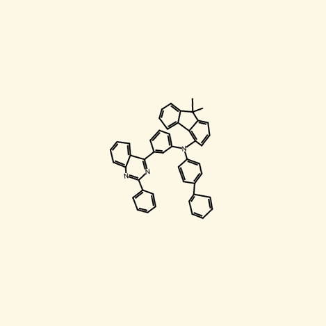 CC1(C)c2ccccc2-c2c(N(c3ccc(-c4ccccc4)cc3)c3cccc(-c4nc(-c5ccccc5)nc5ccccc45)c3)cccc21